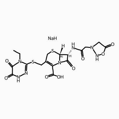 CCn1c(SCC2=C(C(=O)O)N3C(=O)[C@@H](NC(=O)CN4CC(=O)ON4)[C@H]3SC2)n[nH]c(=O)c1=O.[NaH]